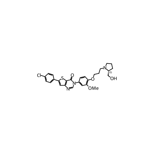 COc1cc(-n2cnc3cc(-c4ccc(Cl)cc4)sc3c2=O)ccc1OCCCN1CCC[C@H]1CO